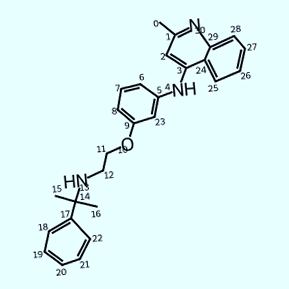 Cc1cc(Nc2cccc(OCCNC(C)(C)c3ccccc3)c2)c2ccccc2n1